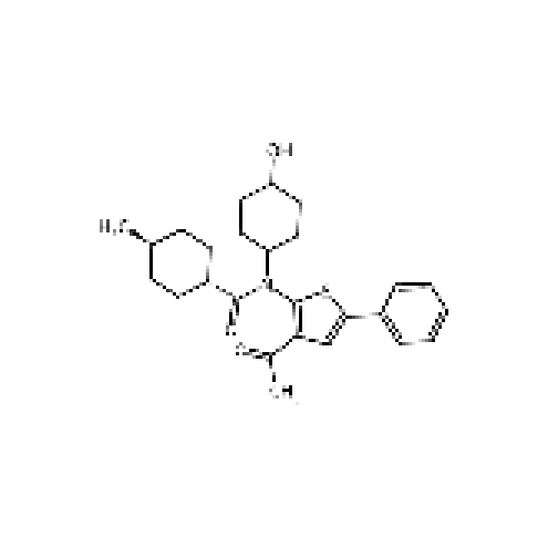 CC(=O)c1cc(-c2ccccc2)sc1N(C(=O)[C@H]1CC[C@H](C)CC1)C1CCC(O)CC1